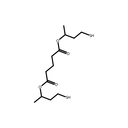 CC(CCS)OC(=O)CCCC(=O)OC(C)CCS